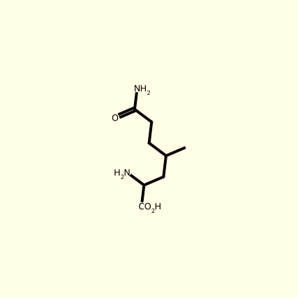 CC(CCC(N)=O)CC(N)C(=O)O